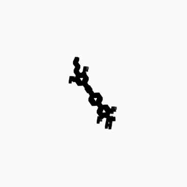 CCCCc1c(F)cc(C#Cc2ccc(-c3cc(F)c(NC)c(F)c3)cc2)cc1F